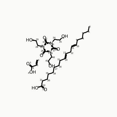 C=CC(=O)O.CCCCCC=CCC=CCCCCCCCC(=O)O.O=c1n(CCO)c(=O)n(CCO)c(=O)n1CCO